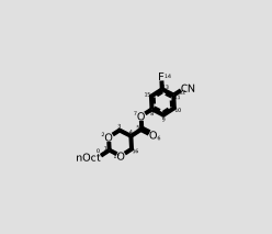 CCCCCCCCC1OCC(C(=O)Oc2ccc(C#N)c(F)c2)CO1